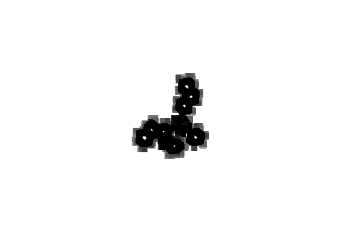 c1ccc(-c2nc(-c3ccc4c(ccc5ccccc54)c3)nc(-c3cc4ccc5ccccc5c4c4sc5ccccc5c34)n2)cc1